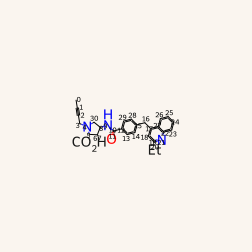 CC#CCN1C[C@H](C(=O)O)[C@H](NC(=O)c2ccc(Cc3cc(CC)nc4ccccc34)cc2)C1